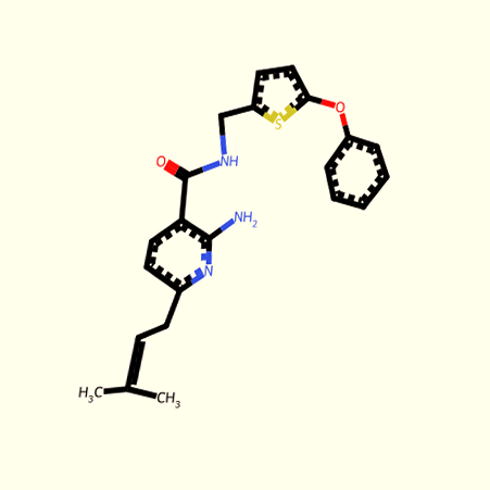 CC(C)=CCc1ccc(C(=O)NCc2ccc(Oc3ccccc3)s2)c(N)n1